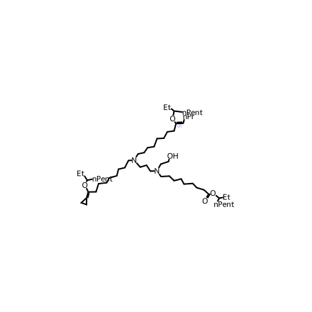 CCC/C=C(/CCCCCCCCN(CCCCCCCCC(OC(CC)CCCCC)=C1CC1)CCCN(CCO)CCCCCCCCC(=O)OC(CC)CCCCC)OC(CC)CCCCC